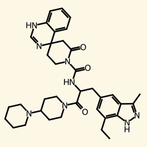 CCc1cc(CC(NC(=O)N2CCC3(CC2=O)N=CNc2ccccc23)C(=O)N2CCC(N3CCCCC3)CC2)cc2c(C)n[nH]c12